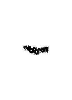 C[N+](C)(C)c1ccc2c(ccc3c4c(ccc32)C([CH]c2ccc3ncccc3c2)CCC4)c1